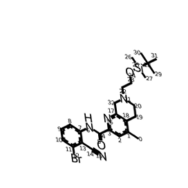 Cc1cc(C(=O)Nc2cccc(Br)c2C#N)nc2c1CCN(CCO[Si](C)(C)C(C)(C)C)C2